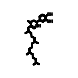 CC(C)=CCCC(C)=CCCC(C)=CCCC(C)=CC(=O)N(C)CC(O)c1ccc(O)c(O)c1